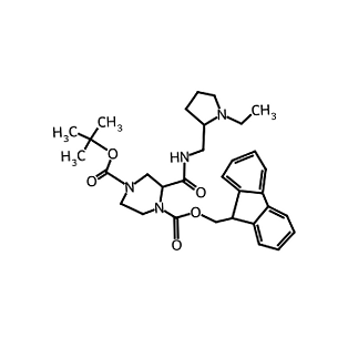 CCN1CCCC1CNC(=O)C1CN(C(=O)OC(C)(C)C)CCN1C(=O)OCC1c2ccccc2-c2ccccc21